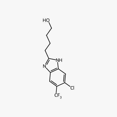 OCCCCc1nc2cc(C(F)(F)F)c(Cl)cc2[nH]1